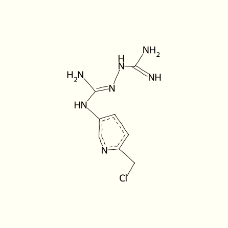 N=C(N)NN=C(N)Nc1ccc(CCl)nc1